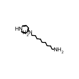 C1=CC=CNC=C1.NCCCCCCCCCN